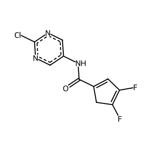 O=C(Nc1cnc(Cl)nc1)C1=CC(F)=C(F)C1